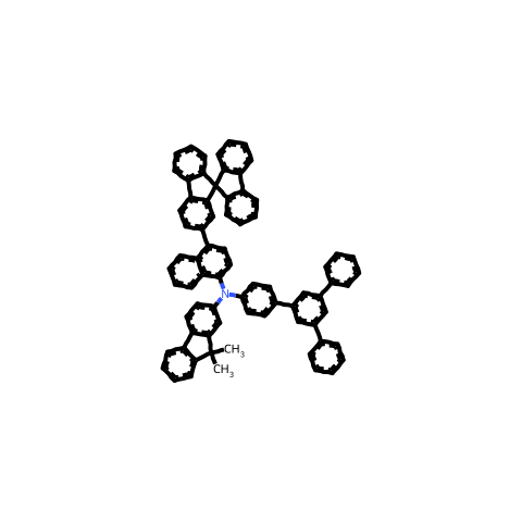 CC1(C)c2ccccc2-c2ccc(N(c3ccc(-c4cc(-c5ccccc5)cc(-c5ccccc5)c4)cc3)c3ccc(-c4ccc5c(c4)C4(c6ccccc6-c6ccccc64)c4ccccc4-5)c4ccccc34)cc21